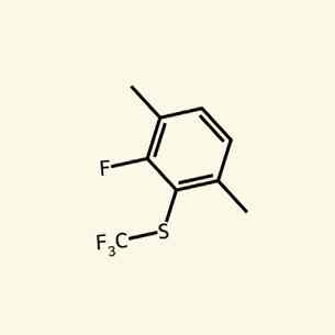 Cc1ccc(C)c(SC(F)(F)F)c1F